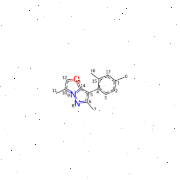 Cc1ccc(-c2c(C)nn3c(C)coc23)c(C)c1